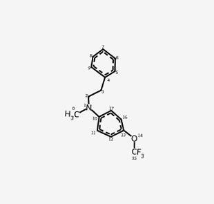 CN(CCc1cc[c]cc1)c1ccc(OC(F)(F)F)cc1